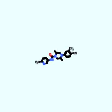 CC1CN(c2ccc(C#N)c(C(F)(F)F)c2)C(C)CN1C(=O)Nc1ccc(C(F)(F)F)nc1